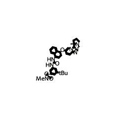 CNS(=O)(=O)c1cc(NC(=O)NC2=CC[C@@H](Oc3ccc4nnc([C@]5(C)CCCN5C)n4c3)c3ccccc32)cc(C(C)(C)C)c1